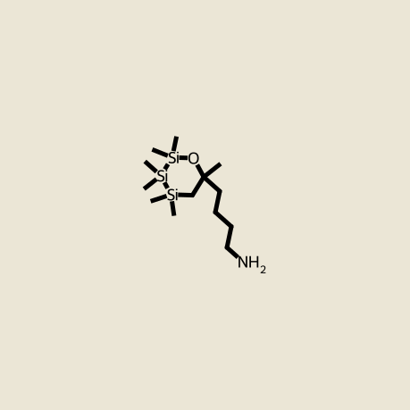 CC1(CCCCN)C[Si](C)(C)[Si](C)(C)[Si](C)(C)O1